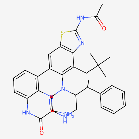 CC(=O)Nc1nc2c(CC(C)(C)C)c(N3CCNCC3C(C)c3ccccc3)c(-c3cccc4[nH]c(=O)c(N)nc34)cc2s1